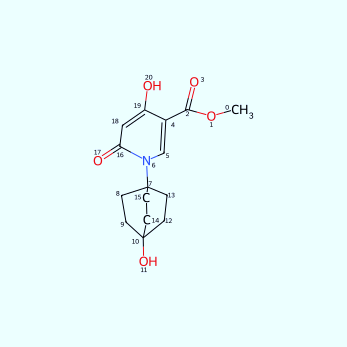 COC(=O)c1cn(C23CCC(O)(CC2)CC3)c(=O)cc1O